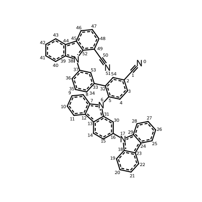 N#Cc1ccc(-n2c3ccccc3c3ccc(-n4c5ccccc5c5ccccc54)cc32)c(-c2cccc(-n3c4ccccc4c4cccc(C#N)c43)c2)c1